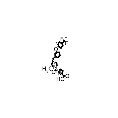 C[C@@H]1CN(Cc2cccc(Oc3ccc(C(F)(F)F)cn3)c2)CCN1C(=O)n1ccc(C(=O)O)n1